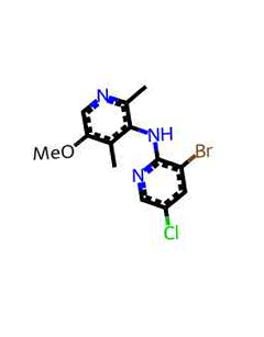 COc1cnc(C)c(Nc2ncc(Cl)cc2Br)c1C